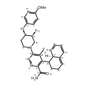 COc1ccc(O[C@@H]2CCN(c3nnc(C(N)=O)c(C4CCC=C5C=CC=N[C@@H]54)c3C)C[C@@H]2F)cn1